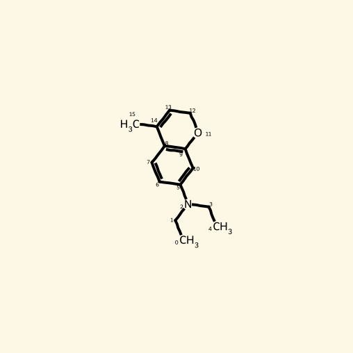 CCN(CC)c1ccc2c(c1)OCC=C2C